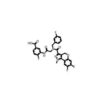 Cn1nc(C(=O)N(CC(=O)Nc2cc(C(=O)O)ccc2F)Cc2cccc(F)c2)c2c1-c1cc(F)c(F)cc1OC2